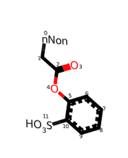 CCCCCCCCCCC(=O)Oc1ccccc1S(=O)(=O)O